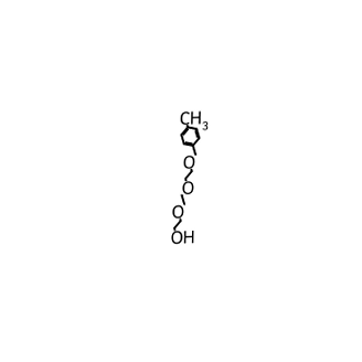 Cc1ccc(COCCOCCOCCO)cc1